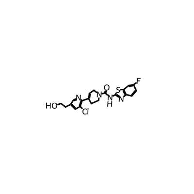 O=C(Nc1nc2ccc(F)cc2s1)N1CC=C(c2ncc(CCO)cc2Cl)CC1